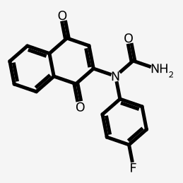 NC(=O)N(C1=CC(=O)c2ccccc2C1=O)c1ccc(F)cc1